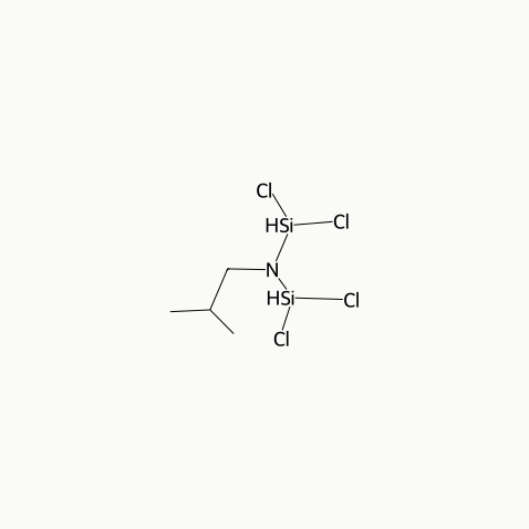 CC(C)CN([SiH](Cl)Cl)[SiH](Cl)Cl